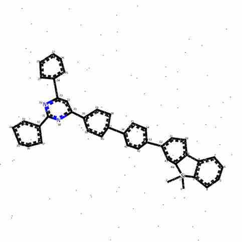 C[Si]1(C)c2ccccc2-c2ccc(-c3ccc(-c4ccc(-c5cc(-c6ccccc6)nc(-c6ccccc6)n5)cc4)cc3)cc21